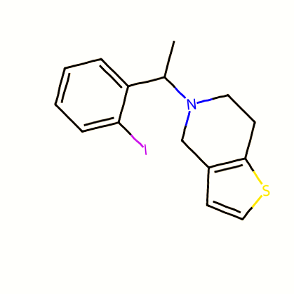 CC(c1ccccc1I)N1CCc2sccc2C1